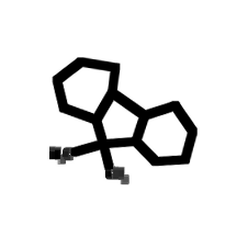 CC1(C)C2CCCCC2C2CCCCC21